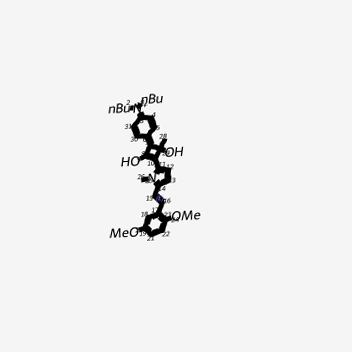 CCCC[N+](CCCC)=C1C=CC(=C2C(O)=C(c3ccc(/C=C/c4cc(OC)ccc4OC)n3C)C2(C)O)C=C1